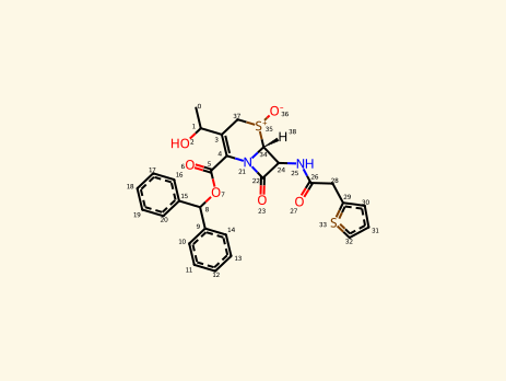 CC(O)C1=C(C(=O)OC(c2ccccc2)c2ccccc2)N2C(=O)C(NC(=O)Cc3cccs3)[C@H]2[S+]([O-])C1